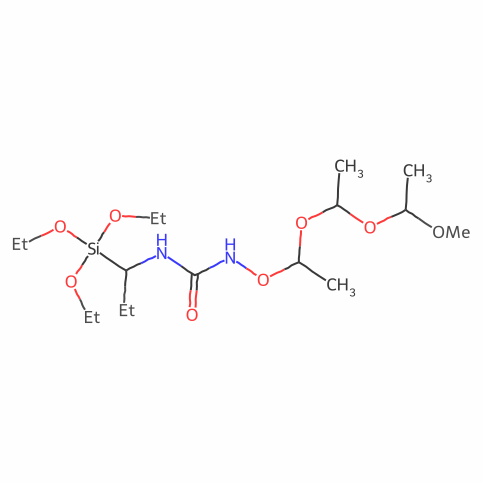 CCO[Si](OCC)(OCC)C(CC)NC(=O)NOC(C)OC(C)OC(C)OC